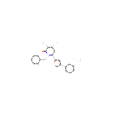 CCS(=O)(=O)c1cccc(-c2coc(-c3cc(C(F)(F)F)c(C#N)c(=O)n3Cc3ccccc3F)c2)c1